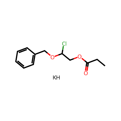 CCC(=O)OCC(Cl)OCc1ccccc1.[KH]